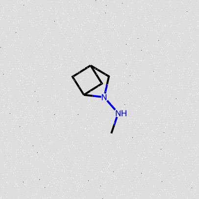 CNN1CC2CC1C2